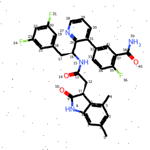 Cc1cc(C)c2c(c1)NC(=O)[C@H]2CC(=O)N[C@@H](Cc1cc(F)cc(F)c1)c1ncccc1-c1ccc(F)c(C(N)=O)c1